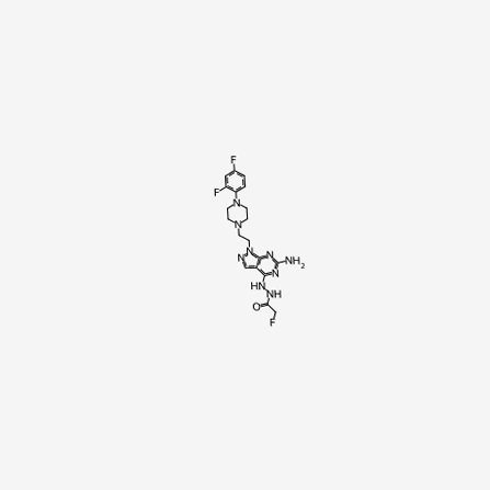 Nc1nc(NNC(=O)CF)c2cnn(CCN3CCN(c4ccc(F)cc4F)CC3)c2n1